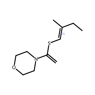 C=C(S/C=C(\C)CC)N1CCOCC1